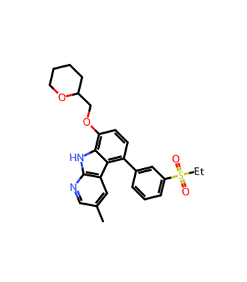 CCS(=O)(=O)c1cccc(-c2ccc(OCC3CCCCO3)c3[nH]c4ncc(C)cc4c23)c1